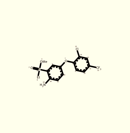 CCP(=O)(OC)c1cc(Oc2ccc(C(F)(F)F)cc2Cl)ccc1N